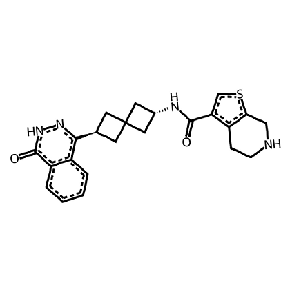 O=C(N[C@H]1CC2(C1)C[C@H](c1n[nH]c(=O)c3ccccc31)C2)c1csc2c1CCNC2